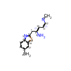 Bc1ccc2nc(C/C(N)=C/C=C\N=C)sc2c1